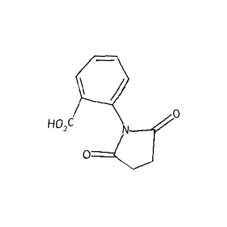 O=C(O)c1ccccc1N1C(=O)CCC1=O